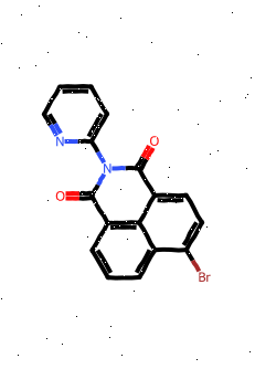 O=C1c2cccc3c(Br)ccc(c23)C(=O)N1c1ccccn1